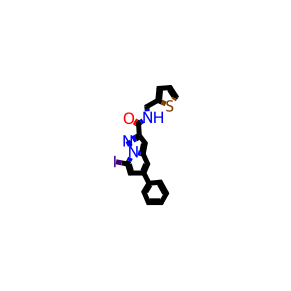 O=C(NCc1cccs1)c1cc2cc(-c3ccccc3)cc(I)n2n1